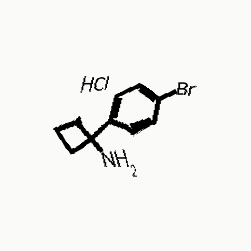 Cl.NC1(c2ccc(Br)cc2)CCC1